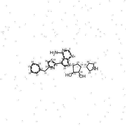 Nc1ncnc2c1c(-c1nc(Cc3ccccc3)cs1)cn2[C@@H]1C[C@H](C2CCNC2)[C@@H](O)[C@H]1O